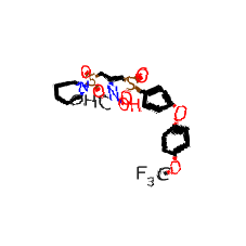 O=CN(O)C(CS(=O)(=O)c1ccc(Oc2ccc(OC(F)(F)F)cc2)cc1)CS(=O)(=O)N1CCCCC1